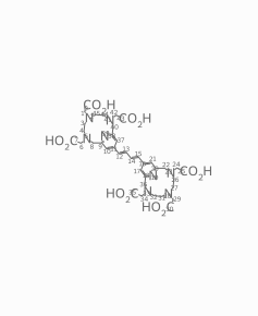 O=C(O)CN1CCN(CC(=O)O)Cc2cc(/C=C/C=C/c3cc4nc(c3)CN(CC(=O)O)CCN(CC(=O)O)CCN(CC(=O)O)C4)cc(n2)CN(CC(=O)O)CC1